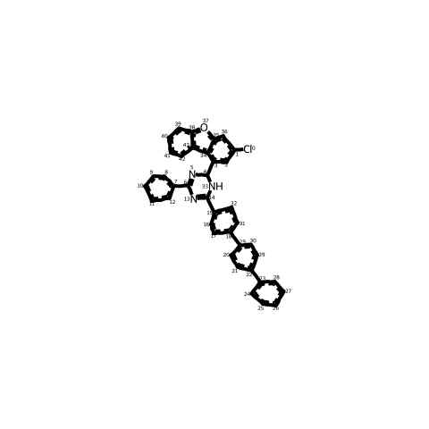 Clc1cc(C2N=C(c3ccccc3)N=C(c3ccc(-c4ccc(-c5ccccc5)cc4)cc3)N2)c2c(c1)oc1ccccc12